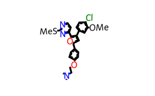 COc1cc(-c2cc(-c3ccc(OCCN(C)C)cc3)oc2-c2ccnc(SC)n2)ccc1Cl